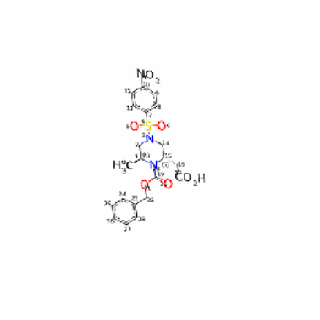 C[C@H]1CN(S(=O)(=O)c2ccc([N+](=O)[O-])cc2)C[C@H](CC(=O)O)N1C(=O)OCc1ccccc1